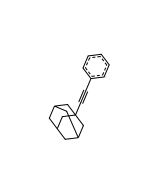 C(#CC12CC3CC(CC(C3)C1)C2)c1[c]cccc1